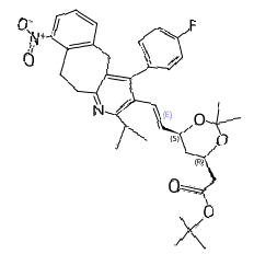 CC(C)c1nc2c(c(-c3ccc(F)cc3)c1/C=C/[C@@H]1C[C@H](CC(=O)OC(C)(C)C)OC(C)(C)O1)Cc1cccc([N+](=O)[O-])c1CC2